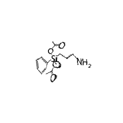 CC(=O)O[Si](CCCN)(OC(C)=O)c1ccccc1